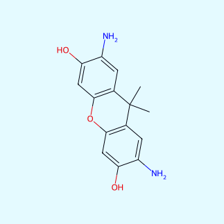 CC1(C)c2cc(N)c(O)cc2Oc2cc(O)c(N)cc21